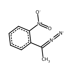 CC(=[N+]=[N-])c1ccccc1[N+](=O)[O-]